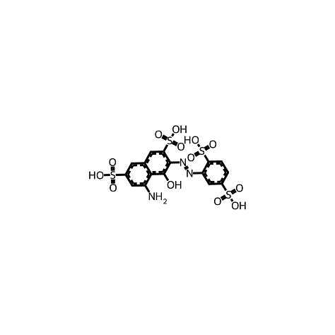 Nc1cc(S(=O)(=O)O)cc2cc(S(=O)(=O)O)c(N=Nc3cc(S(=O)(=O)O)ccc3S(=O)(=O)O)c(O)c12